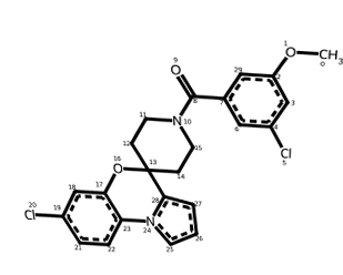 COc1cc(Cl)cc(C(=O)N2CCC3(CC2)Oc2cc(Cl)ccc2-n2cccc23)c1